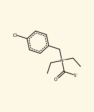 CC[N+](CC)(Cc1ccc(Cl)cc1)C(=O)[S-]